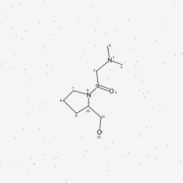 CN(C)CC(=O)N1CCCC1C[O]